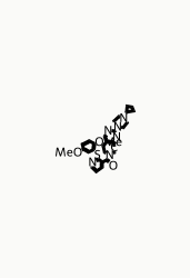 COc1ccc(OC)c(Sc2ncccc2C(=O)N2CCc3cnc(N4CCN(C5CCC5)CC4)nc3CC2)c1